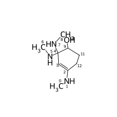 CNC1=[C]C(NC)(NC)C(O)CC1